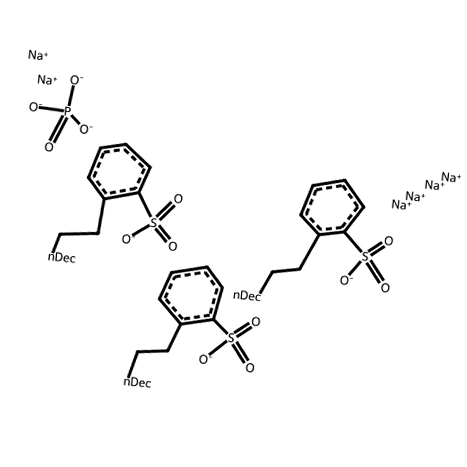 CCCCCCCCCCCCc1ccccc1S(=O)(=O)[O-].CCCCCCCCCCCCc1ccccc1S(=O)(=O)[O-].CCCCCCCCCCCCc1ccccc1S(=O)(=O)[O-].O=P([O-])([O-])[O-].[Na+].[Na+].[Na+].[Na+].[Na+].[Na+]